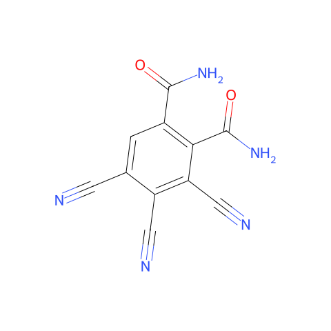 N#Cc1cc(C(N)=O)c(C(N)=O)c(C#N)c1C#N